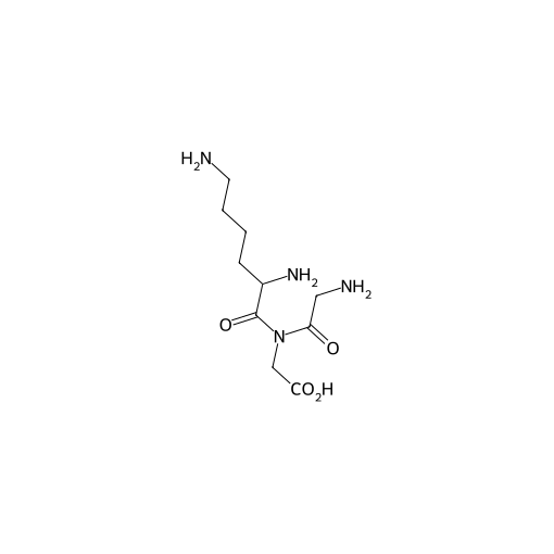 NCCCCC(N)C(=O)N(CC(=O)O)C(=O)CN